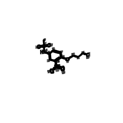 CS(=O)(=O)Nc1ccc(OCCCCl)c([N+](=O)[O-])c1